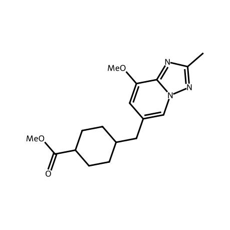 COC(=O)C1CCC(Cc2cc(OC)c3nc(C)nn3c2)CC1